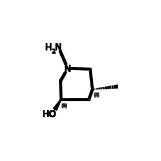 C[C@@H]1C[C@@H](O)CN(N)C1